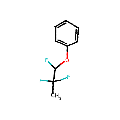 CC(F)(F)C(F)Oc1c[c]ccc1